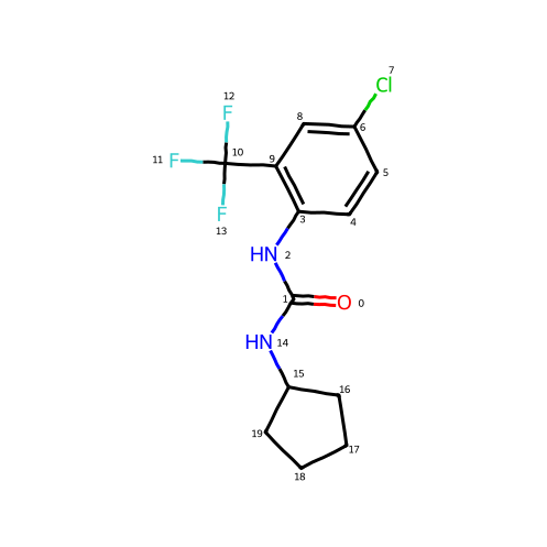 O=C(Nc1ccc(Cl)cc1C(F)(F)F)NC1CCCC1